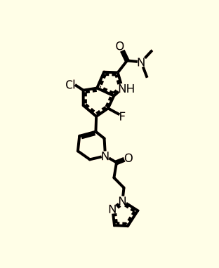 CN(C)C(=O)c1cc2c(Cl)cc(C3=CCCN(C(=O)CCn4cccn4)C3)c(F)c2[nH]1